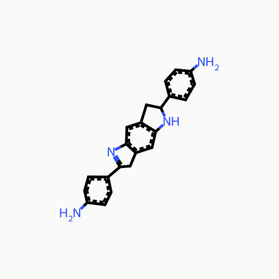 Nc1ccc(C2=Nc3cc4c(cc3C2)NC(c2ccc(N)cc2)C4)cc1